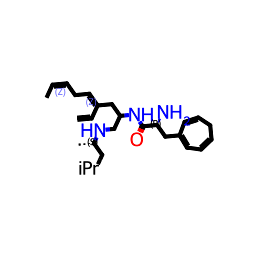 C=C/C(=C\C/C=C\C)CC(CN[C@@H](C)CC(C)C)NC(=O)[C@H](N)CC1=CC=CCC=C1